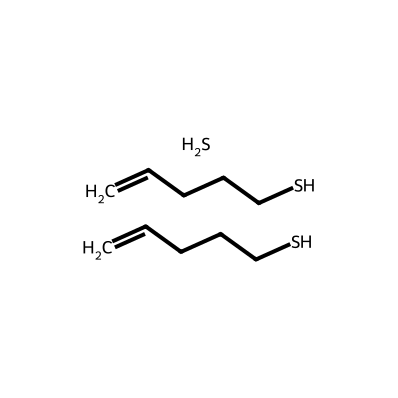 C=CCCCS.C=CCCCS.S